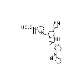 Cc1cn(-c2cc(CN3CCC[C@H](NC(=O)O)C3)cc(NC(=O)c3cc(-n4cnc5ccccc54)ccn3)c2)cn1